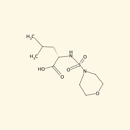 CC(C)C[C@H](NS(=O)(=O)N1CCOCC1)C(=O)O